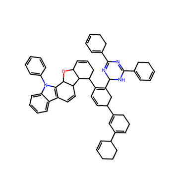 C1=CCCC(C2=NC(C3=C(C4CC=CC5OC6c7c(c8ccccc8n7-c7ccccc7)C=CC6C54)C=CC(C4=CC(C5C=CCCC5)=CCC4)C3)NC(C3=CC=CCC3)=N2)=C1